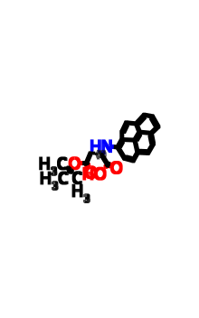 CC(C)(C)OC(=O)C[C@H](Nc1ccc2ccc3cccc4ccc1c2c34)C(=O)O